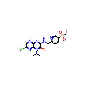 CCS(=O)(=O)c1ccc(CNc2nc3ncc(Br)nc3n(C(C)C)c2=O)nc1